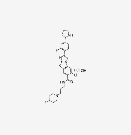 Cl.Cl.O=C(NCCCN1CCC(F)CC1)c1cc2sc3nc(-c4ccc(C5CCCN5)cc4F)cn3c2cc1Cl